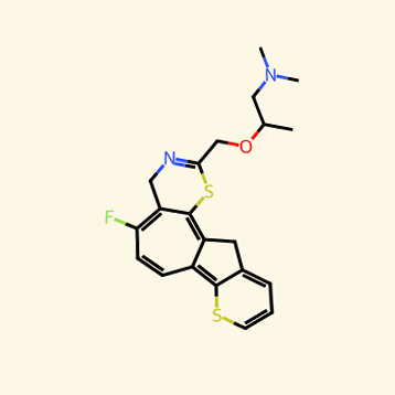 CC(CN(C)C)OCC1=NCC2=C(F)C=CC3=C4SC=CC=C4CC3=C2S1